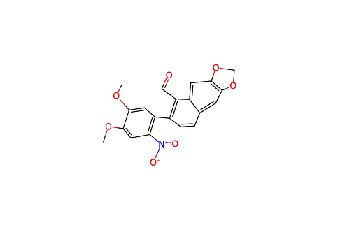 COc1cc(-c2ccc3cc4c(cc3c2C=O)OCO4)c([N+](=O)[O-])cc1OC